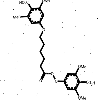 COc1cc(OCCCCCC(=O)OOc2cc(OC)c(C(=O)O)c(OC)c2)cc(OC)c1C(=O)O